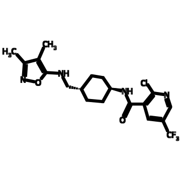 Cc1noc(NC[C@H]2CC[C@H](NC(=O)c3cc(C(F)(F)F)cnc3Cl)CC2)c1C